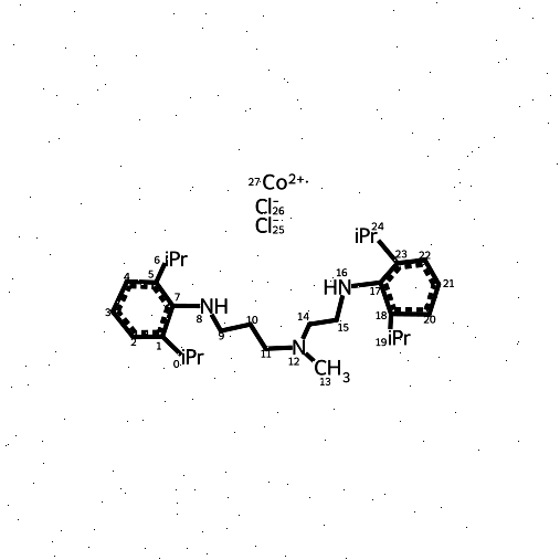 CC(C)c1cccc(C(C)C)c1NCCCN(C)CCNc1c(C(C)C)cccc1C(C)C.[Cl-].[Cl-].[Co+2]